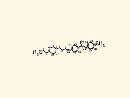 CCCC1CCC(CCCOc2ccc(C(=O)Oc3ccc(C)cc3)cc2)CC1